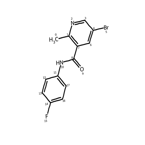 Cc1ncc(Br)cc1C(=O)Nc1ccc(F)cc1